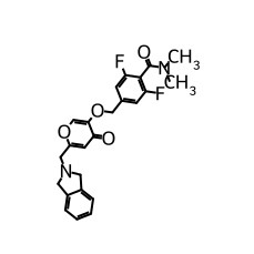 CN(C)C(=O)c1c(F)cc(COc2coc(CN3Cc4ccccc4C3)cc2=O)cc1F